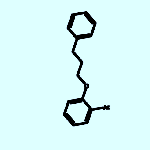 CC(=O)c1ccccc1OCCCc1ccccc1